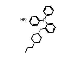 Br.CCC[C@H]1CC[C@H](Cc2ccccc2P(c2ccccc2)c2ccccc2)CC1